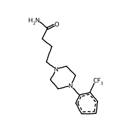 NC(=O)CCCN1CCN(c2ccccc2C(F)(F)F)CC1